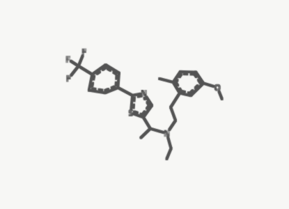 CCN(CCc1cc(OC)ccc1C)C(C)c1cnc(-c2ccc(C(F)(F)F)cc2)s1